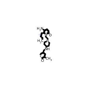 C=C/C=C\c1c(N)ccc(=O)n1CCN1CCC(NCc2ccc(Cl)c(C)c2)CC1